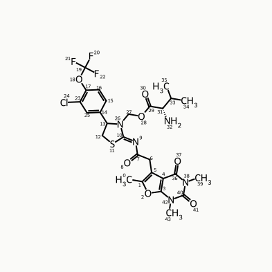 Cc1oc2c(c1CC(=O)/N=C1\SCC(c3ccc(OC(F)(F)F)c(Cl)c3)N1COC(=O)[C@@H](N)C(C)C)c(=O)n(C)c(=O)n2C